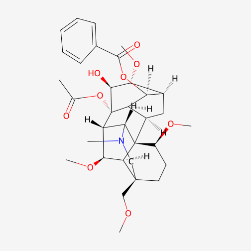 COC[C@@]12CC[C@H](OC)[C@@]34[C@@H]5C[C@@H]6[C@@H](OC)[C@H](O)[C@@](OC(C)=O)([C@H]5[C@H]6OC(=O)c5ccccc5)[C@@H]([C@H](OC)[C@H]13)[C@H]4N(C)C2